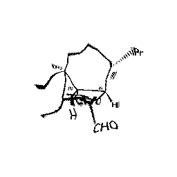 CC1=C(C=O)[C@H]2[C@@H](C(C)C)CC[C@]1(C)[C@H]2C=O